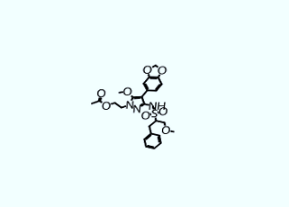 COCC(Cc1ccccc1)S(=O)(=O)Nc1nn(CCOC(C)=O)c(OC)c1-c1ccc2c(c1)OCO2